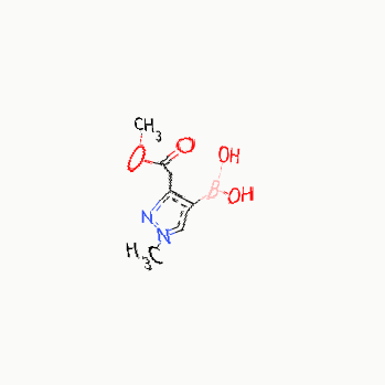 COC(=O)c1nn(C)cc1B(O)O